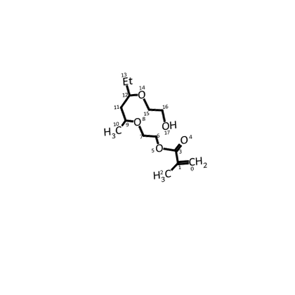 C=C(C)C(=O)OCCOC(C)CC(CC)OCCO